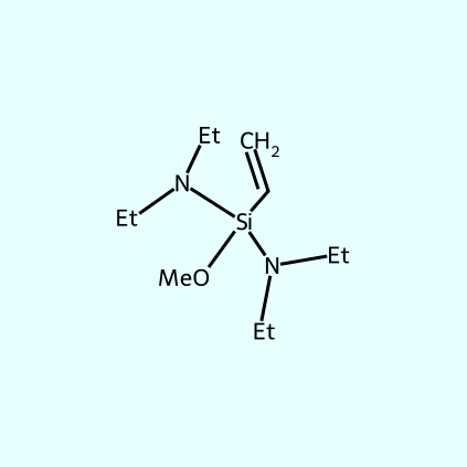 C=C[Si](OC)(N(CC)CC)N(CC)CC